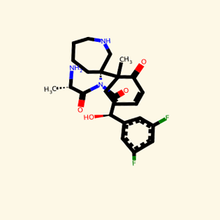 C[C@H](N)C(=O)N(C(=O)[C@H](O)c1cc(F)cc(F)c1)[C@]1(C2(C)C=CC=CC2=O)CCCCNC1